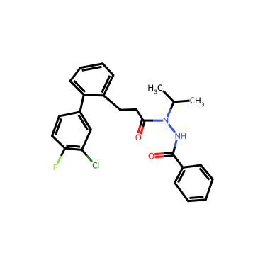 CC(C)N(NC(=O)c1ccccc1)C(=O)CCc1ccccc1-c1ccc(F)c(Cl)c1